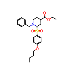 CCCCOc1ccc(S(=O)(=O)C2CC(C(=O)OCC)CCN2Cc2ccccc2)cc1